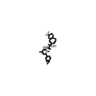 C=C(C)/C=C(\C=C/C#CC)C1C=C(C)C=C(NC(=C)C(C)(CCC)C2=CC3=C(CC=C2)CCC(F)(F)C3)P1C